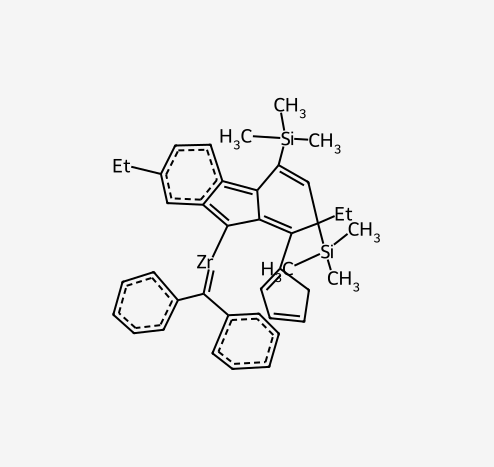 CCc1ccc2c(c1)=[C]([Zr]=[C](c1ccccc1)c1ccccc1)C1=C(C3=CC=CC3)C(CC)([Si](C)(C)C)C=C([Si](C)(C)C)C=21